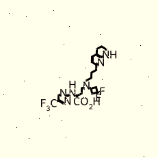 O=C(O)C(CCN(CCCCc1ccc2c(n1)NCCC2)C1CC(F)(F)C1)Nc1ncc(C(F)(F)F)cn1